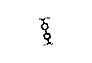 CCCCC(=O)C1CCC(c2ccc(C(=O)CCC)cc2)CC1